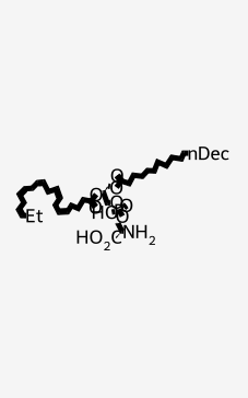 CC/C=C\C/C=C\C/C=C\C/C=C\C/C=C\CCCC(=O)O[C@H](COC(=O)CCCCCCCCCCCCCCCCCCCC)COP(=O)(O)OC[C@H](N)C(=O)O